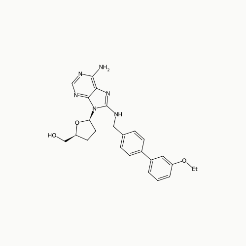 CCOc1cccc(-c2ccc(CNc3nc4c(N)ncnc4n3[C@H]3CC[C@@H](CO)O3)cc2)c1